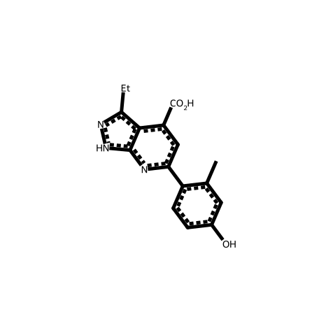 CCc1n[nH]c2nc(-c3ccc(O)cc3C)cc(C(=O)O)c12